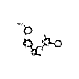 Cc1cc(N2CCCCC2)nc(NCc2c(C)noc2-c2ccc(O[C@H]3CCC[C@H](C(=O)O)C3)cn2)n1